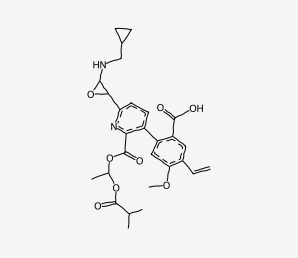 C=Cc1cc(C(=O)O)c(-c2ccc(C3OC3NCC3CC3)nc2C(=O)OC(C)OC(=O)C(C)C)cc1OC